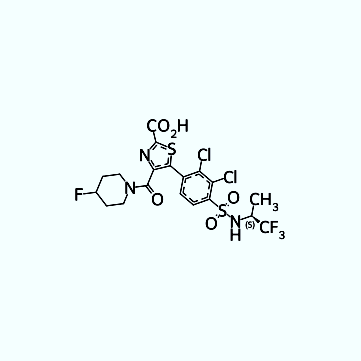 C[C@H](NS(=O)(=O)c1ccc(-c2sc(C(=O)O)nc2C(=O)N2CCC(F)CC2)c(Cl)c1Cl)C(F)(F)F